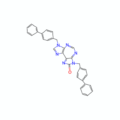 O=c1nc2c3ncn(Cc4ccc(-c5ccccc5)cc4)c3ncnc-2n1Cc1ccc(-c2ccccc2)cc1